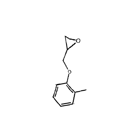 Cc1[c]cc[c]c1OCC1CO1